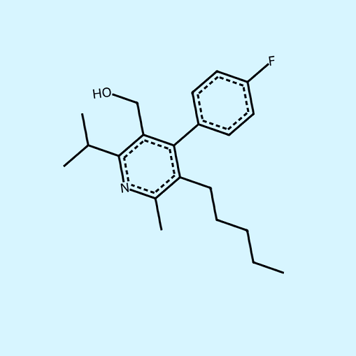 CCCCCc1c(C)nc(C(C)C)c(CO)c1-c1ccc(F)cc1